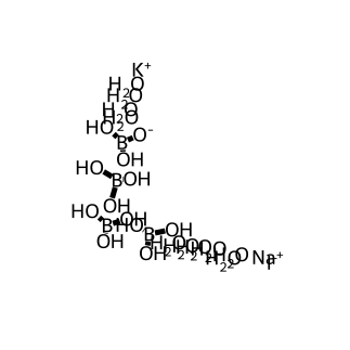 O.O.O.O.O.O.O.O.O.O.OB(O)O.OB(O)O.OB(O)O.[I-].[K+].[Na+].[O-]B(O)O